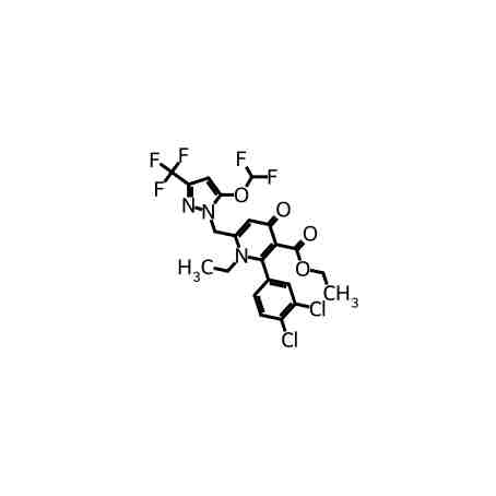 CCOC(=O)c1c(-c2ccc(Cl)c(Cl)c2)n(CC)c(Cn2nc(C(F)(F)F)cc2OC(F)F)cc1=O